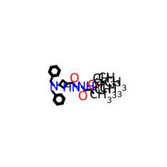 CC(O[Si](C)(C)C(C)(C)C)C(=O)NNC(=O)C1CC(N(Cc2ccccc2)Cc2ccccc2)C1